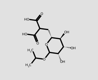 CC(C)OC1O[C@H](CC(C(=O)O)C(=O)O)[C@@H](O)[C@H](O)[C@@H]1O